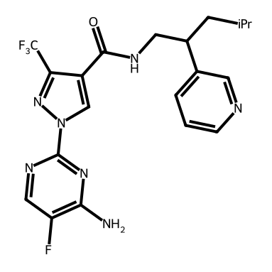 CC(C)CC(CNC(=O)c1cn(-c2ncc(F)c(N)n2)nc1C(F)(F)F)c1cccnc1